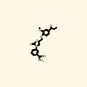 CCC(=O)c1ccc(OCC2CN(c3cccc(C(=N)N)c3)C(=O)O2)c(OC)c1